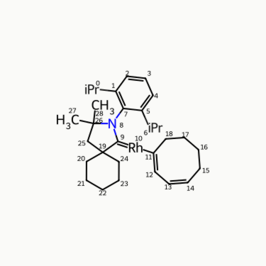 CC(C)c1cccc(C(C)C)c1N1[C](=[Rh][C]2=CC=CCCCC2)C2(CCCCC2)CC1(C)C